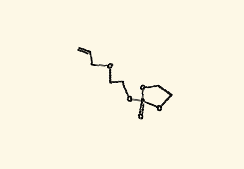 C=CCOCCOP1(=O)OCCO1